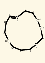 C1=N/CCCCCCCCCCCC/1